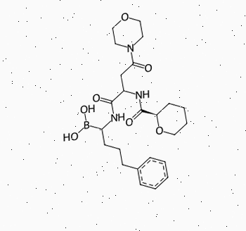 O=C(NC(CCCc1ccccc1)B(O)O)C(CC(=O)N1CCOCC1)NC(=O)[C@H]1CCCCO1